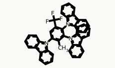 Cc1c(-n2c3ccccc3c3ccccc32)cc(C(F)(F)F)c(-n2c3ccccc3c3ccccc32)c1-n1c2ccccc2c2ccccc21